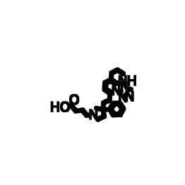 O=C(O)CCCN1CCC(CCc2ccc3c(n2)NCCC3)(c2cccc(-n3cncn3)c2)C1